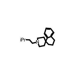 CC(C)CCN1CCC2(CCCc3ccccc32)CC1